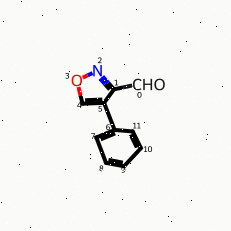 O=Cc1nocc1-c1ccccc1